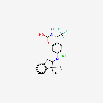 CN(C(=O)O)[C@@H](c1ccc(NC2Cc3ccccc3C2(C)C)cc1)C(F)(F)F.Cl